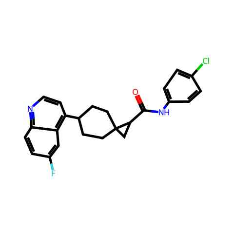 O=C(Nc1ccc(Cl)cc1)C1CC12CCC(c1ccnc3ccc(F)cc13)CC2